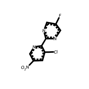 O=[N+]([O-])c1cnc(-c2ncc(F)cn2)c(Cl)c1